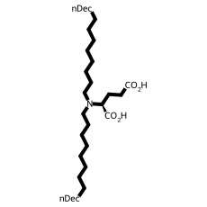 CCCCCCCCCCCCCCCCCCN(CCCCCCCCCCCCCCCCCC)[C@@H](CCC(=O)O)C(=O)O